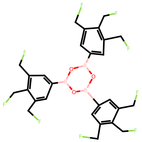 FCc1cc(B2OB(c3cc(CF)c(CF)c(CF)c3)OB(c3cc(CF)c(CF)c(CF)c3)O2)cc(CF)c1CF